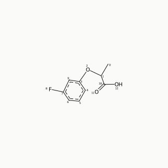 CC(Oc1cccc(F)c1)C(=O)O